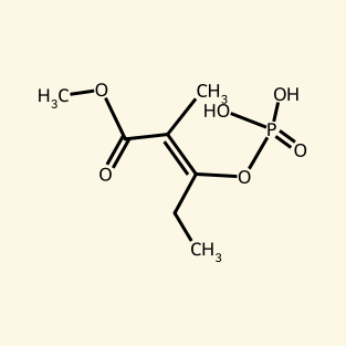 CCC(OP(=O)(O)O)=C(C)C(=O)OC